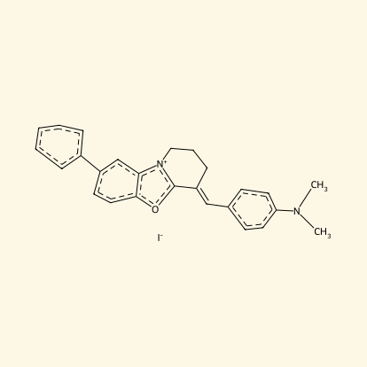 CN(C)c1ccc(C=C2CCC[n+]3c2oc2ccc(-c4ccccc4)cc23)cc1.[I-]